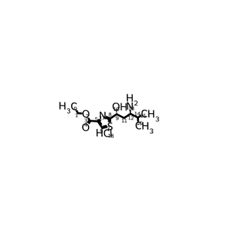 CCOC(=O)c1csc([C@H](O)C[C@@H](N)C(C)C)n1.Cl